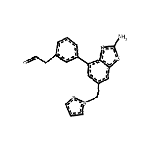 Nc1nc2c(-c3cccc(CC=O)c3)cc(Cn3cccn3)cc2s1